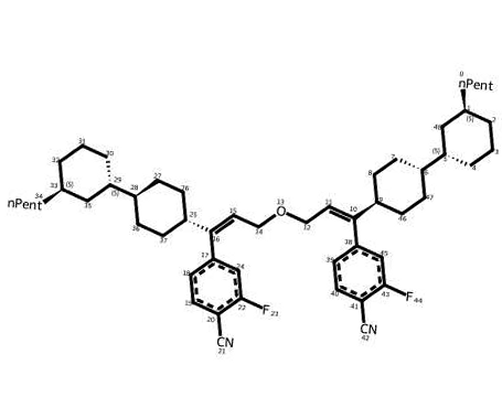 CCCCC[C@H]1CCC[C@H]([C@H]2CC[C@H](C(=CCOCC=C(c3ccc(C#N)c(F)c3)[C@H]3CC[C@H]([C@H]4CCC[C@H](CCCCC)C4)CC3)c3ccc(C#N)c(F)c3)CC2)C1